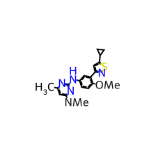 CNc1cc(C)nc(Nc2ccc(OC)c(-c3cc(C4CC4)sn3)c2)n1